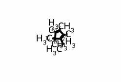 CCC1=C(C)C(C)=C(C)C1(C)C